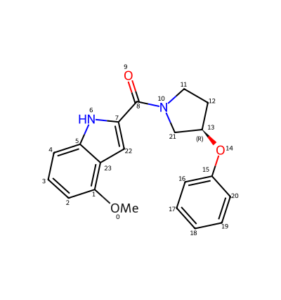 COc1cccc2[nH]c(C(=O)N3CC[C@@H](Oc4ccccc4)C3)cc12